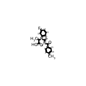 Cc1ccc(C(=O)/N=c2\sc3ccc(F)cc3n2C(C)C(=O)O)cc1